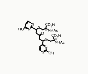 CC(=O)N[C@@H](CSC(CC(=O)CC(SC[C@H](NC(C)=O)C(=O)O)c1nccc(O)n1)c1ccnc(O)n1)C(=O)O